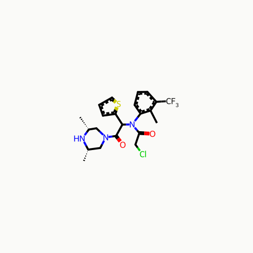 Cc1c(N(C(=O)CCl)C(C(=O)N2C[C@@H](C)N[C@@H](C)C2)c2cccs2)cccc1C(F)(F)F